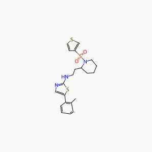 Cc1[c]cccc1-c1cnc(NCCC2CCCCN2S(=O)(=O)c2ccsc2)s1